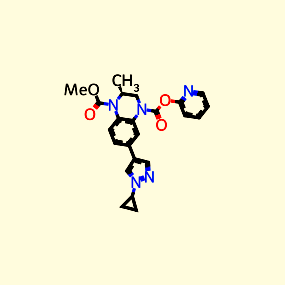 COC(=O)N1c2ccc(-c3cnn(C4CC4)c3)cc2N(C(=O)Oc2ccccn2)C[C@@H]1C